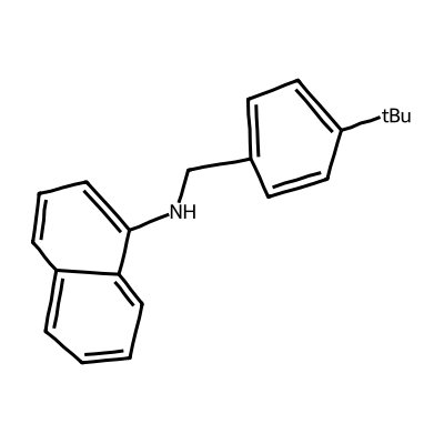 CC(C)(C)c1ccc(CNc2cccc3ccccc23)cc1